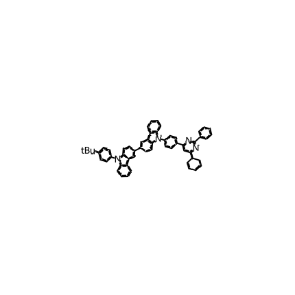 CC(C)(C)c1ccc(-n2c3ccccc3c3cc(-c4ccc5c(c4)c4ccccc4n5-c4ccc(-c5cc(C6C=CC=CC6)nc(-c6ccccc6)n5)cc4)ccc32)cc1